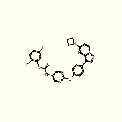 O=C(Nc1cnc(Oc2ccc(-c3cnn4ccc(N5CCC5)nc34)cc2)nc1)Nc1cc(F)ccc1F